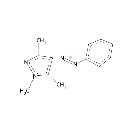 Cc1nn(C)c(C)c1/N=N/c1ccccc1